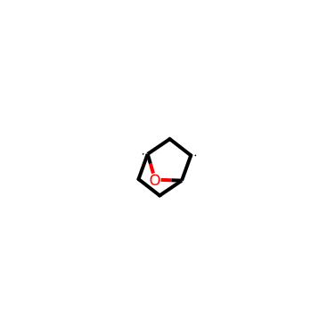 [CH]1C[C]2CCC1O2